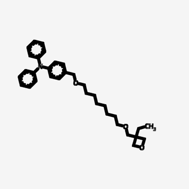 CCC1(COCCCCCCCCOCc2ccc(N(c3ccccc3)c3ccccc3)cc2)COC1